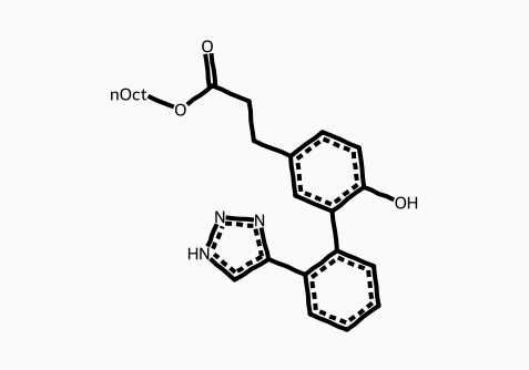 CCCCCCCCOC(=O)CCc1ccc(O)c(-c2ccccc2-c2c[nH]nn2)c1